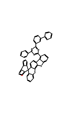 c1ccc(-c2cccc(-c3nc(-c4ccccc4)nc(-c4cccc5sc6c7c(ccc6c45)C4(c5ccccc5S7)c5ccccc5-c5ccccc54)n3)c2)cc1